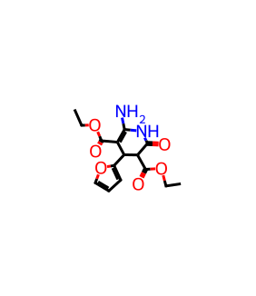 CCOC(=O)C1=C(N)NC(=O)C(C(=O)OCC)C1c1ccco1